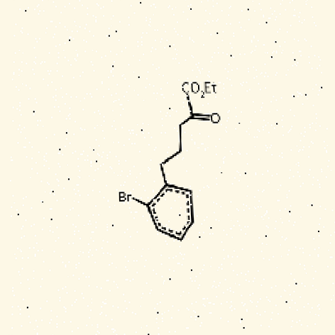 CCOC(=O)C(=O)CCCc1ccccc1Br